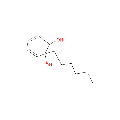 CCCCCCC1(O)C=CC=CC1O